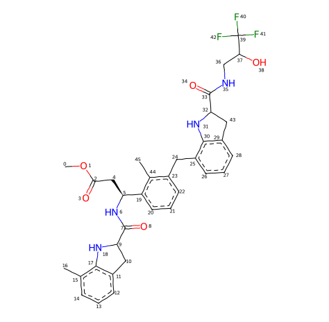 COC(=O)C[C@H](NC(=O)C1Cc2cccc(C)c2N1)c1cccc(Cc2cccc3c2NC(C(=O)NCC(O)C(F)(F)F)C3)c1C